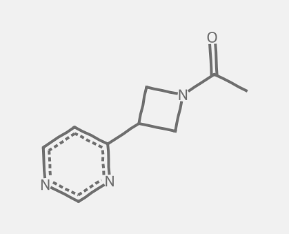 CC(=O)N1CC(c2ccncn2)C1